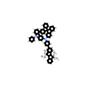 CC1(C)C2=C(c3ccccc31)C(C)(C)c1cc(-c3ccc(N(c4ccc5c(c4)C(c4ccccc4)(c4ccccc4)c4ccccc4-5)c4ccc5c(c4)c4ccccc4n5-c4ccccc4)cc3)ccc12